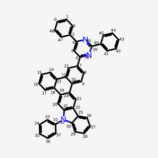 c1ccc(-c2cc(-c3ccc4c(c3)c3ccccc3c3cc5c(cc43)c3ccccc3n5-c3ccccc3)nc(-c3ccccc3)n2)cc1